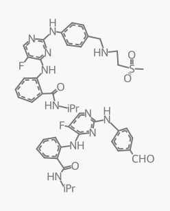 CC(C)NC(=O)c1ccccc1Nc1nc(Nc2ccc(C=O)cc2)ncc1F.CC(C)NC(=O)c1ccccc1Nc1nc(Nc2ccc(CNCCS(C)(=O)=O)cc2)ncc1F